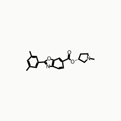 Cc1cc(C)cc(-c2nc3ccc(C(=O)O[C@@H]4CCN(C)C4)cc3o2)c1